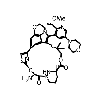 CO[C@@H](C)c1ncc(N2CCOCC2)cc1-c1c2c3cc(cc4c3n1[C@@H](C)CO4)-c1csc(n1)C[C@H](N)C(=O)N1CCC[C@H](N1)C(=O)OCC(C)(C)C2